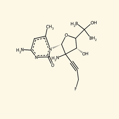 BC(B)(O)C1O[C@@H](n2c(C)cc(N)nc2=O)C(N)(C#CCF)[C@H]1O